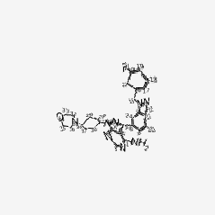 Nc1ncnc2c1c(-c1ccc3cnn(Cc4cccc(F)c4)c3c1)nn2C1CCC(N2CCOCC2)CC1